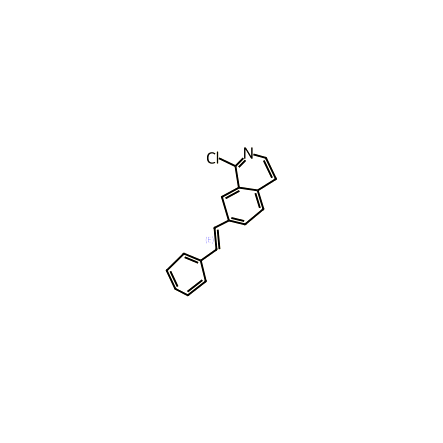 Clc1nccc2ccc(/C=C/c3ccccc3)cc12